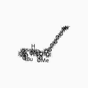 COC(=O)C[C@H](NC(=O)C(C)(C)NC(=O)CCCc1ccc2c(n1)N(C(=O)OC(C)(C)C)CCC2)c1ccc(-c2ccc(OCCOCCOCCOCCOCCN=[N+]=[N-])c3ccccc23)cc1